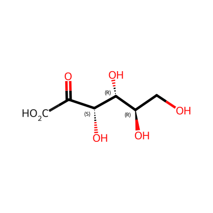 O=C(O)C(=O)[C@@H](O)[C@H](O)[C@H](O)CO